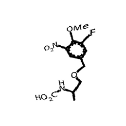 COc1c(F)cc(COCC(C)NC(=O)O)cc1[N+](=O)[O-]